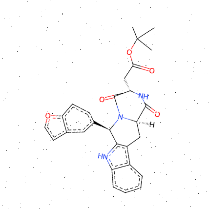 CC(C)(C)OC(=O)C[C@@H]1NC(=O)[C@H]2Cc3c([nH]c4ccccc34)[C@@H](c3ccc4occc4c3)N2C1=O